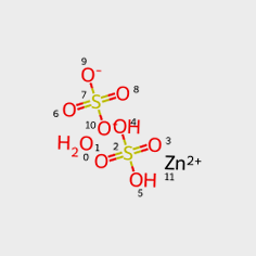 O.O=S(=O)(O)O.O=S(=O)([O-])[O-].[Zn+2]